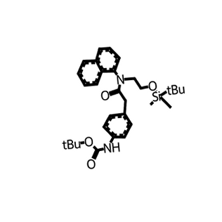 CC(C)(C)OC(=O)Nc1ccc(CC(=O)N(CCO[Si](C)(C)C(C)(C)C)c2cccc3ccccc23)cc1